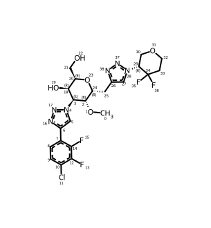 CO[C@@H]1[C@@H](n2cc(-c3ccc(Cl)c(F)c3F)nn2)[C@@H](O)[C@@H](CO)O[C@@H]1Cc1cn([C@@H]2COCCC2(F)F)nn1